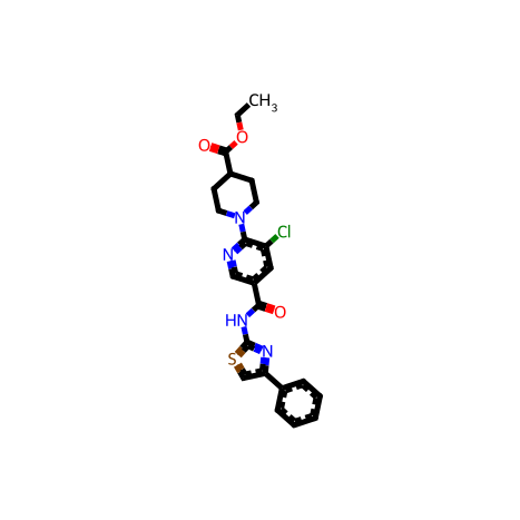 CCOC(=O)C1CCN(c2ncc(C(=O)Nc3nc(-c4ccccc4)cs3)cc2Cl)CC1